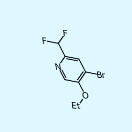 CCOc1cnc(C(F)F)cc1Br